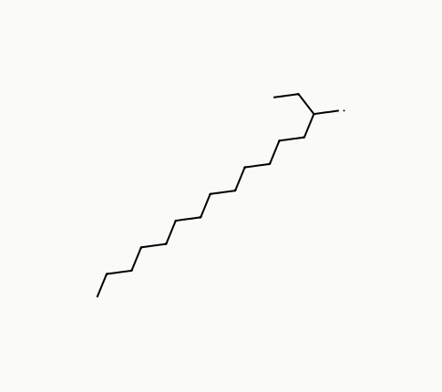 [CH2]C(CC)CCCCCCCCCCCCC